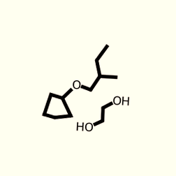 CCC(C)COC1CCCC1.OCCO